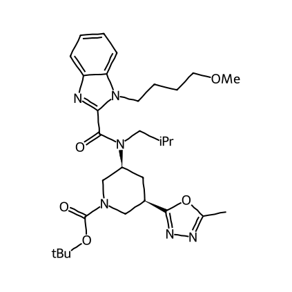 COCCCCn1c(C(=O)N(CC(C)C)[C@H]2C[C@@H](c3nnc(C)o3)CN(C(=O)OC(C)(C)C)C2)nc2ccccc21